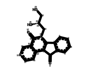 O=C1c2ccccc2-c2c1c1ccncc1c(=O)n2C[C@H](O)CO